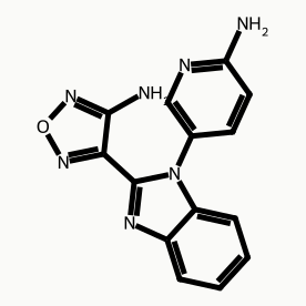 Nc1ccc(-n2c(-c3nonc3N)nc3ccccc32)cn1